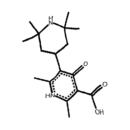 Cc1[nH]c(C)c(C2CC(C)(C)NC(C)(C)C2)c(=O)c1C(=O)O